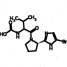 CC(C)C(NC(=O)O)C(=O)N1CCC[C@H]1c1ncc(Br)[nH]1